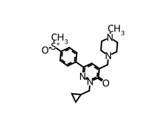 CN1CCN(Cc2cc(-c3ccc([S+](C)[O-])cc3)nn(CC3CC3)c2=O)CC1